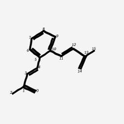 C=C(C)C=Cc1ccccc1C=CC(=C)C